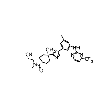 Cc1cc(Nc2nccc(C(F)(F)F)n2)cc(-c2cnc([C@]3(O)CC[C@H](C(=O)N(C)CCC#N)CC3)s2)c1